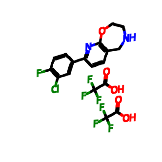 Fc1ccc(-c2ccc3c(n2)OCCNC3)cc1Cl.O=C(O)C(F)(F)F.O=C(O)C(F)(F)F